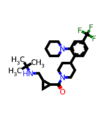 CC(C)(C)NCC1CC1C(=O)N1CCC(c2ccc(C(F)(F)F)cc2N2CCCCC2)CC1